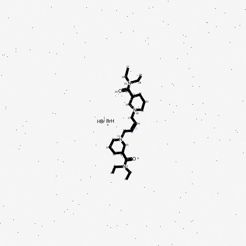 Br.Br.CCN(CC)C(=O)C1CCCN(C/C=C\CN2CCCC(C(=O)N(CC)CC)C2)C1